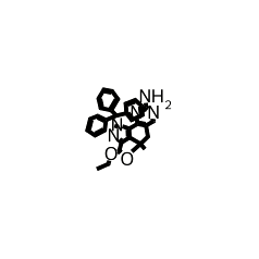 CCOC(=O)c1nn(C(c2ccccc2)(c2ccccc2)c2ccccc2)c2c1C(C)(C)Cc1cnc(N)nc1-2